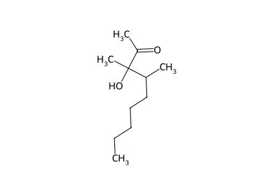 CCCCCC(C)C(C)(O)C(C)=O